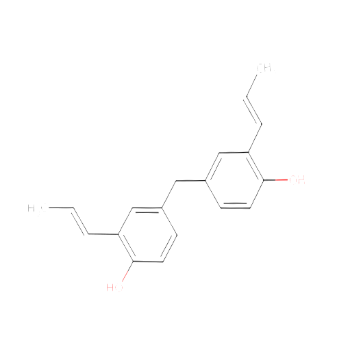 CC=Cc1cc(Cc2ccc(O)c(C=CC)c2)ccc1O